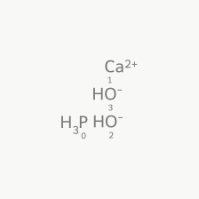 P.[Ca+2].[OH-].[OH-]